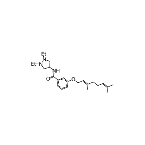 CCN1CC(NC(=O)c2cccc(OC/C=C(\C)CCC=C(C)C)c2)CN1CC